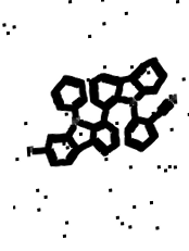 N#Cc1ccccc1-n1c2ccccc2c2cccc(-c3cccc4c5ccc(F)cc5n(-c5ccccc5)c34)c21